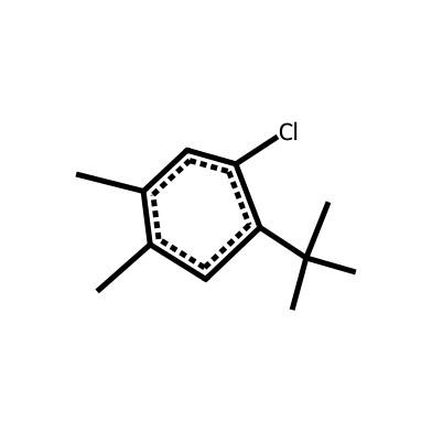 Cc1cc(Cl)c(C(C)(C)C)cc1C